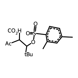 CC(=O)C(C(=O)O)C(OS(=O)(=O)c1ccc(C)cc1C)C(C)(C)C